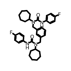 O=C(Nc1ccc(F)cc1)N(Cc1cccc(CN(C(=O)Nc2ccc(F)cc2)C2CCCCCC2)c1)C1CCCCCC1